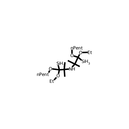 CCCCCOC([SiH3])(OCC)C(C)(C)NC(C)(C)C([SiH3])(OCC)OCCCCC